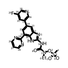 CCN(OS(C)(=O)=O)C(=O)Nc1nc2cc(-c3cncc(F)c3)cc(-c3ncccn3)c2[nH]1